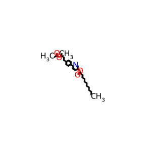 CCCCCCCCCC=CC(=O)Oc1ccc(-c2ccc(CCC(C)OC(=O)CC)cc2)nc1